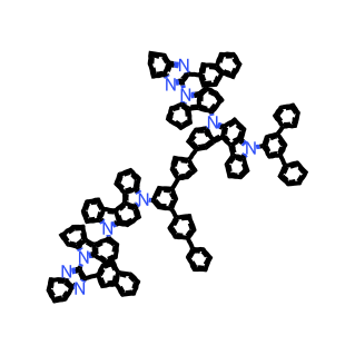 c1ccc(-c2ccc(-c3cc(-c4ccc(-c5ccc6c(c5)c5c7c8ccccc8n(-c8cc(-c9ccccc9)cc(-c9ccccc9)c8)c7ccc5n6-c5cccc6c5c5ccccc5n6-c5nc6ccccc6nc5-c5ccc6ccccc6c5)cc4)cc(-n4c5ccccc5c5c6c7ccccc7n(-c7cccc8c7c7ccccc7n8-c7nc8ccccc8nc7-c7ccc8ccccc8c7)c6ccc54)c3)cc2)cc1